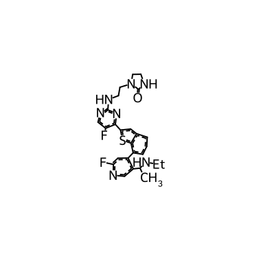 CCNC(C)c1cnc(F)cc1-c1cccc2cc(-c3nc(NCCN4CCNC4=O)ncc3F)sc12